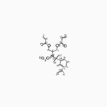 C=CC(=O)OCC(COC(=O)C=C)N(C(=O)O)C(C)(C)c1cccc(C(=C)C)c1